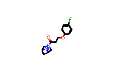 O=C(CCOc1ccc(F)cc1)N1CC2CC(C1)N2